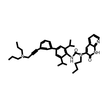 CCCCN(C(=O)Nc1c(C(C)C)cc(-c2cccc(C#CCN(CCC)CCC)c2)cc1C(C)C)c1cc2cccnc2[nH]c1=O